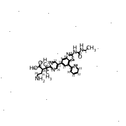 CCNC(=O)Nc1nc2cc(-c3cnc(C(C)(C)C(CCN)C(=O)O)nc3)cc(-c3ccccn3)c2s1